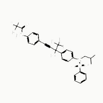 CC(C)CN(c1ccc(C(O)(C#Cc2ccc(NC(=O)C(F)(F)F)cc2)C(F)(F)F)cc1)S(=O)(=O)c1ccccc1